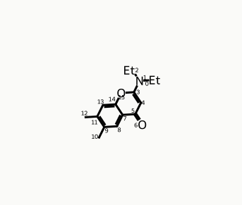 CCN(CC)c1cc(=O)c2cc(C)c(C)cc2o1